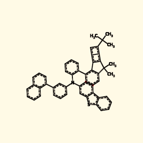 CC(C)(C)c1cc2c3c(c1-2)C(C)(C)c1cccc(-c2ccccc2N(c2cccc(-c4cccc5ccccc45)c2)c2ccc4c(c2)sc2ccccc24)c1-3